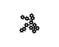 c1ccc(-c2ccc(-n3c4cc(N(c5cccc(-c6ccc7ccccc7c6)c5)c5ccc6c(c5)C(c5ccccc5)(c5ccccc5)c5ccccc5-6)ccc4c4ccc5ccccc5c43)cc2)cc1